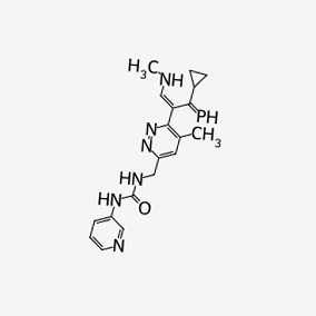 CN/C=C(\C(=P)C1CC1)c1nnc(CNC(=O)Nc2cccnc2)cc1C